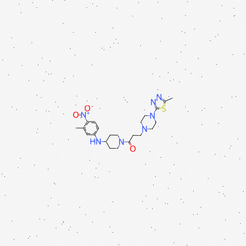 Cc1nnc(N2CCN(CCC(=O)N3CCC(Nc4ccc([N+](=O)[O-])c(C)c4)CC3)CC2)s1